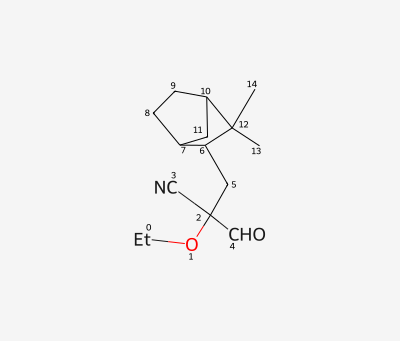 CCOC(C#N)(C=O)CC1C2CCC(C2)C1(C)C